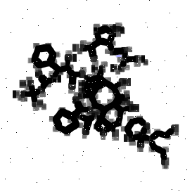 CC(=O)O[C@@]12CO[C@@H]1C[C@H](O)[C@@]1(C)C(=O)[C@H](O)C3=C(C)[C@@H](OC(=O)[C@H](O)[C@@H](NC(=O)OC(C)(C)C)c4ccccc4)C[C@@](O)([C@@H](OC(=O)c4ccccc4)[C@H]21)C3(C)C.CN(C)/N=N/c1[nH]cnc1C(N)=O.O=P1(N(CCCl)CCCl)NCCCO1.[Pt]